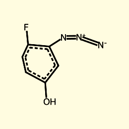 [N-]=[N+]=Nc1cc(O)ccc1F